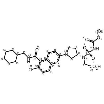 CC(C)(C)OC(=O)NS(=O)(=O)N(CC(=O)O)[C@H]1CCN(c2ccc3c(C(=O)NCC4CCCCC4)c(Cl)ccc3n2)C1